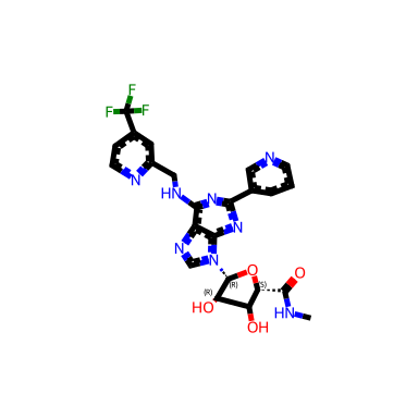 CNC(=O)[C@H]1O[C@@H](n2cnc3c(NCc4cc(C(F)(F)F)ccn4)nc(-c4cccnc4)nc32)[C@H](O)C1O